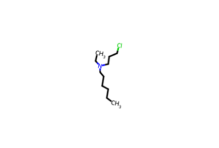 CCCCCCN(CC)CCCCl